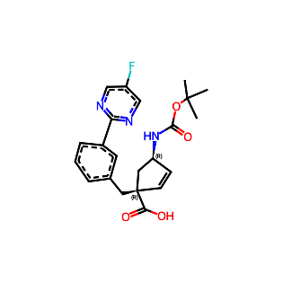 CC(C)(C)OC(=O)N[C@H]1C=C[C@](Cc2cccc(-c3ncc(F)cn3)c2)(C(=O)O)C1